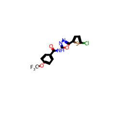 O=C(Nc1nnc(-c2ccc(Cl)s2)o1)c1ccc(OC(F)(F)F)cc1